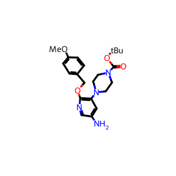 COc1ccc(COc2ncc(N)cc2N2CCN(C(=O)OC(C)(C)C)CC2)cc1